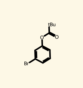 CC(C)(C)C(=O)Oc1cccc(Br)c1